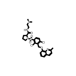 Cc1ccc2cccc(OCc3c(Cl)ccc(S(=O)(=O)N4CCCC4C(=O)NCCN(C)C)c3Cl)c2n1